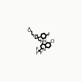 COCCN1CC(CNc2cc(C(F)(F)F)nc3ccc(Cl)cc23)(c2ccc(F)cc2)C1